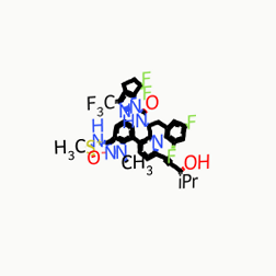 CC(C)C(O)C#Cc1ccc(-c2cccc3c(N[S+](C)[O-])nn(C)c23)c(C(Cc2cc(F)cc(F)c2)NC(=O)n2nc(C(F)(F)F)c3c2C(F)(F)CC3)n1